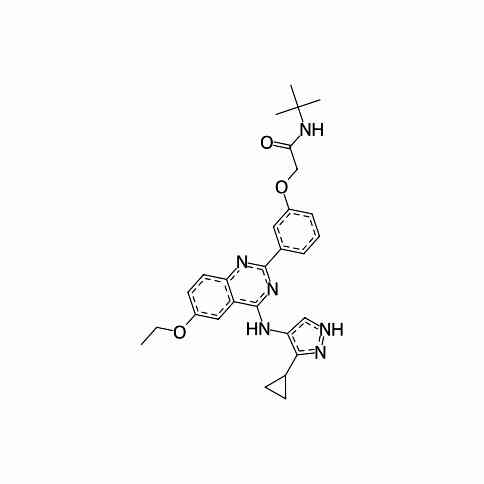 CCOc1ccc2nc(-c3cccc(OCC(=O)NC(C)(C)C)c3)nc(Nc3c[nH]nc3C3CC3)c2c1